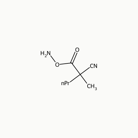 CCCC(C)(C#N)C(=O)ON